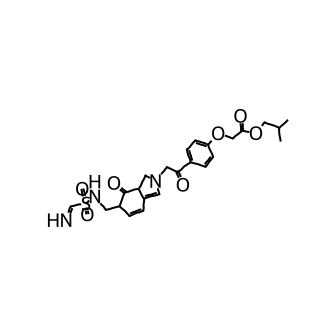 CC(C)COC(=O)COc1ccc(C(=O)CN2C=C3C=CC(CNS(=O)(=O)C=N)C(=O)C3C2)cc1